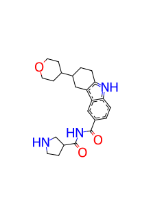 O=C(NC(=O)C1CCNC1)c1ccc2[nH]c3c(c2c1)CC(C1CCOCC1)CC3